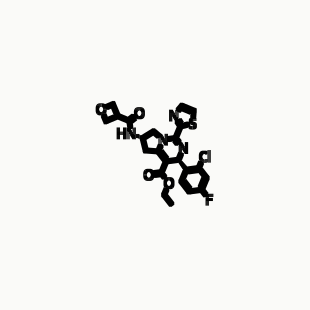 CCOC(=O)C1=C2C[C@H](NC(=O)C3COC3)CN2C(c2nccs2)=N[C@H]1c1ccc(F)cc1Cl